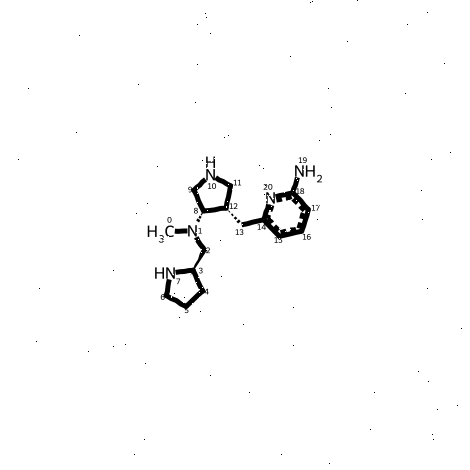 CN(C[C@H]1CCCN1)[C@@H]1CNC[C@@H]1Cc1cccc(N)n1